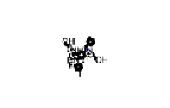 O=C(NOCCO)c1cc(/C(Cc2ccccc2)=N\OCCO)c(F)c(F)c1Nc1ccc(I)cc1F